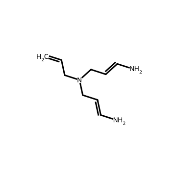 C=CCN(CC=CN)CC=CN